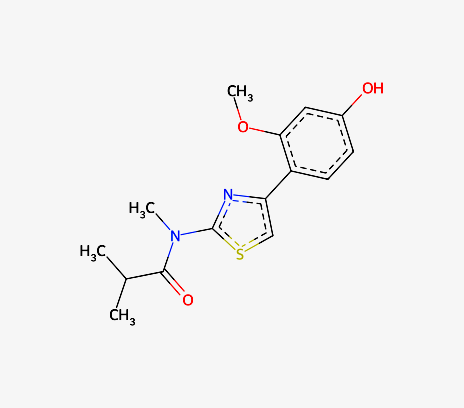 COc1cc(O)ccc1-c1csc(N(C)C(=O)C(C)C)n1